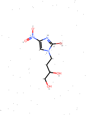 O=[N+]([O-])c1cn(CCC(O)CO)c(Br)n1